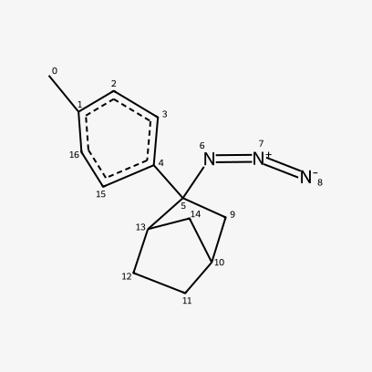 Cc1ccc(C2(N=[N+]=[N-])CC3CCC2C3)cc1